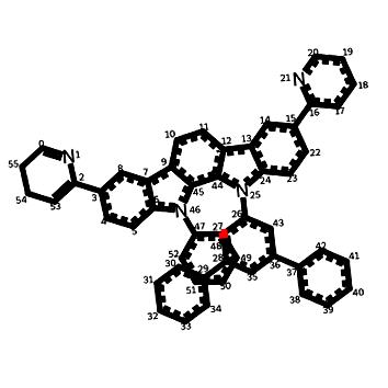 C1=NC(c2ccc3c(c2)c2ccc4c5cc(-c6ccccn6)ccc5n(-c5cc(-c6ccccc6)cc(-c6ccccc6)c5)c4c2n3-c2ccccc2)=CCC1